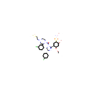 CCOc1cc(OC)c(S(=O)(=O)N(C)OC)cc1C1=N[C@@H](c2ccc(Cl)cc2)[C@@H](c2ccc(Cl)cc2)N1C(=O)N1CCN(CCS(C)(=O)=O)CC1